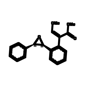 COC=C(C(=O)OC)c1ccccc1[C@@H]1O[C@H]1c1ccccc1